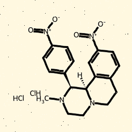 CN1CCN2CCc3ccc([N+](=O)[O-])cc3[C@@H]2[C@@H]1c1ccc([N+](=O)[O-])cc1.Cl.Cl